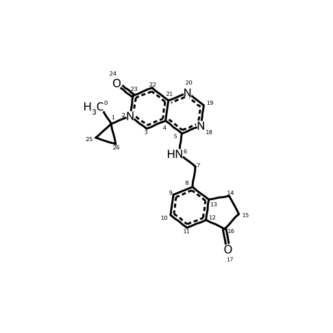 CC1(n2cc3c(NCc4cccc5c4CCC5=O)ncnc3cc2=O)CC1